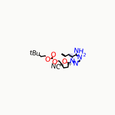 C=C/C=C1/C(N)=NC=NN1[C@H]1CC[C@@](C#N)(COC(=O)OCCC(C)(C)C)O1